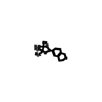 CC1(C)OB(c2ccc3c(c2)CCOC3)OC1(C)C